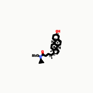 CON(C(=O)CC[C@@H](C)[C@H]1CC[C@H]2[C@@H]3CC=C4C[C@@H](O)CC[C@]4(C)[C@H]3CC[C@]12C)C1CC1